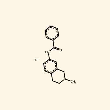 CN1CCc2ncc(NC(=O)c3ccccc3)cc2C1.Cl